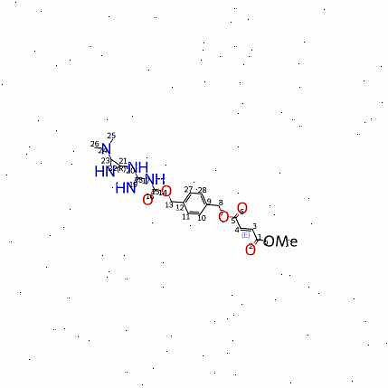 COC(=O)/C=C/C(=O)OCc1ccc(COC(=O)NC(=N)N[C@H]2NC2N(C)C)cc1